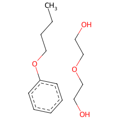 CCCCOc1ccccc1.OCCOCCO